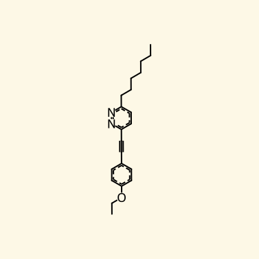 CCCCCCCc1ccc(C#Cc2ccc(OCC)cc2)nn1